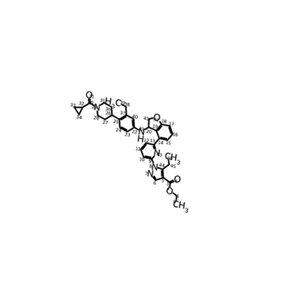 CCOC(=O)c1cnn(-c2cccc(-c3cccc4c3C(Nc3ccc(C5CCN(C(=O)C6CC6)CC5)c(CC)c3)CO4)n2)c1CC